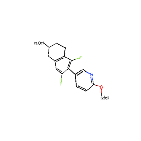 CCCCCCCCC1CCc2c(cc(F)c(-c3ccc(OCCCCCC)nc3)c2F)C1